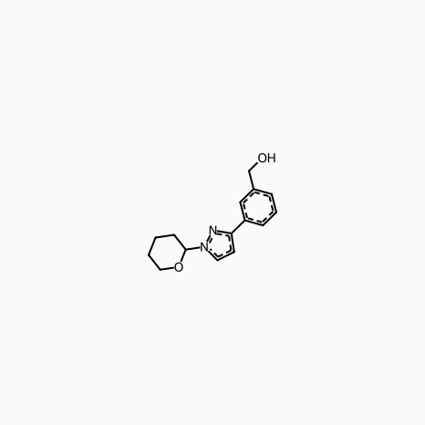 OCc1cccc(-c2ccn(C3CCCCO3)n2)c1